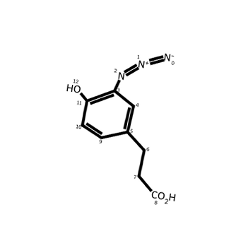 [N-]=[N+]=Nc1cc(CCC(=O)O)ccc1O